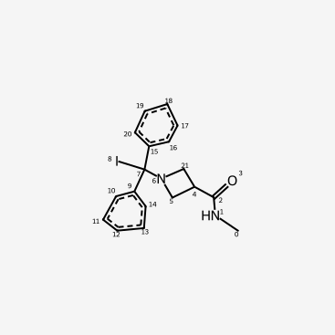 CNC(=O)C1CN(C(I)(c2ccccc2)c2ccccc2)C1